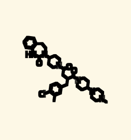 Cc1cc(CC(CC(=O)N2CCC(N3CCc4ccccc4NC3=O)CC2)C(=O)N2CCC(N3CCN(C)CC3)CC2)ccc1Cl